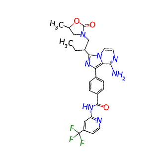 CCC(CN1CC(C)OC1=O)c1nc(-c2ccc(C(=O)Nc3cc(C(F)(F)F)ccn3)cc2)c2c(N)nccn12